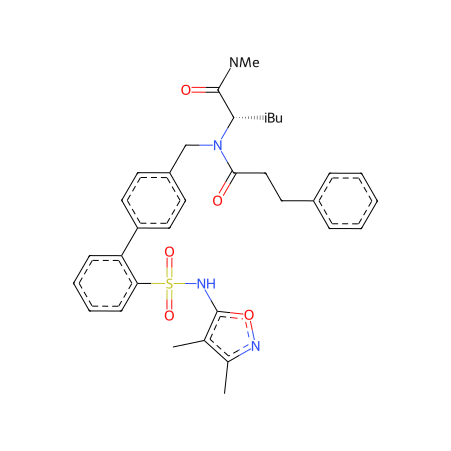 CCC(C)[C@@H](C(=O)NC)N(Cc1ccc(-c2ccccc2S(=O)(=O)Nc2onc(C)c2C)cc1)C(=O)CCc1ccccc1